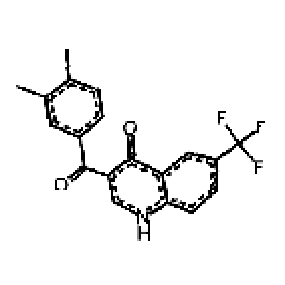 Cc1ccc(C(=O)c2c[nH]c3ccc(C(F)(F)F)cc3c2=O)cc1C